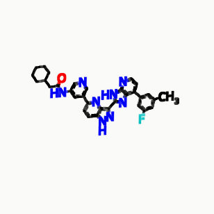 Cc1cc(F)cc(-c2ccnc3[nH]c(-c4n[nH]c5ccc(-c6cncc(NC(=O)CC7CCCCC7)c6)nc45)nc23)c1